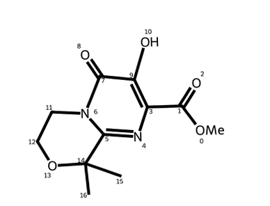 COC(=O)c1nc2n(c(=O)c1O)CCOC2(C)C